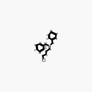 ClCCCCN(Cc1ccccc1)Cc1ccccc1